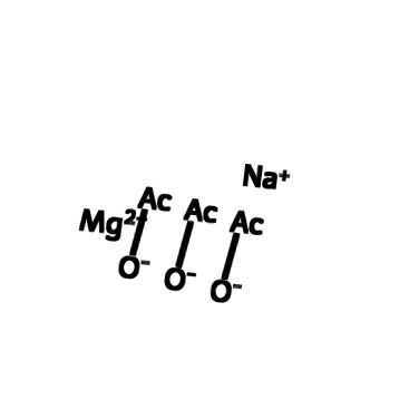 CC(=O)[O-].CC(=O)[O-].CC(=O)[O-].[Mg+2].[Na+]